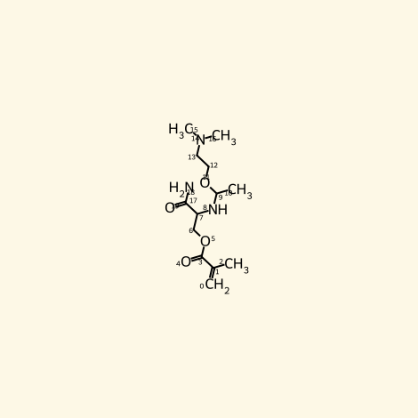 C=C(C)C(=O)OCC(NC(C)OCCN(C)C)C(N)=O